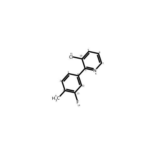 Cc1ccc(-c2ncccc2Cl)cc1F